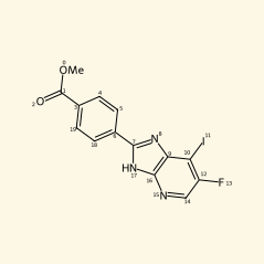 COC(=O)c1ccc(-c2nc3c(I)c(F)cnc3[nH]2)cc1